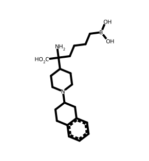 NC(CCCCB(O)O)(C(=O)O)C1CCN(C2CCc3ccccc3C2)CC1